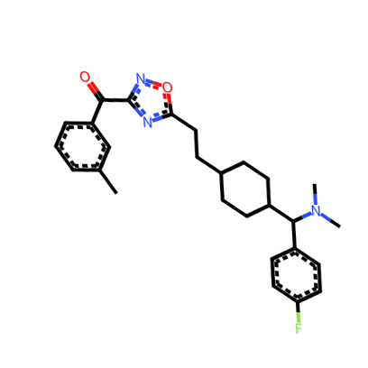 Cc1cccc(C(=O)c2noc(CCC3CCC(C(c4ccc(F)cc4)N(C)C)CC3)n2)c1